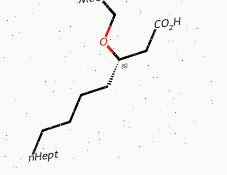 CCCCCCCCCCC[C@@H](CC(=O)O)OCOC